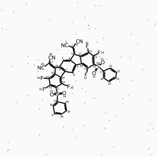 N#CC(C#N)=C1c2cc3c(cc2-c2c(F)c(S(=O)(=O)c4ccccc4)c(F)c(F)c21)-c1c(F)c(S(=O)(=O)c2ccccc2)c(F)c(F)c1C3=C(C#N)C#N